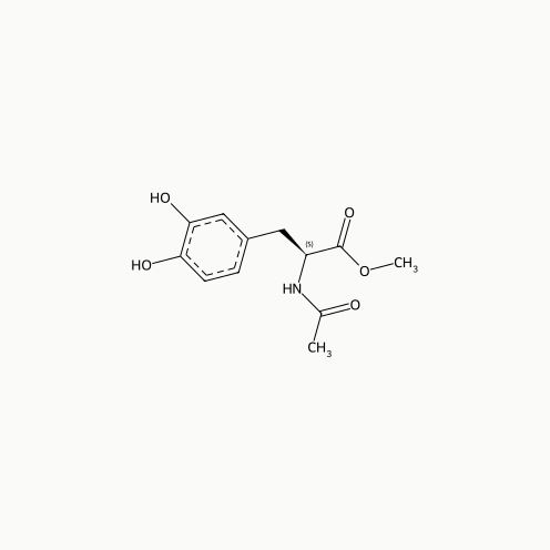 COC(=O)[C@H](Cc1ccc(O)c(O)c1)NC(C)=O